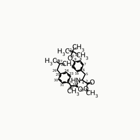 COC(=O)C(Cc1ccc(OC(C)(C)C)cc1)NC(=O)C(C)c1ccc(CC(C)C)cc1